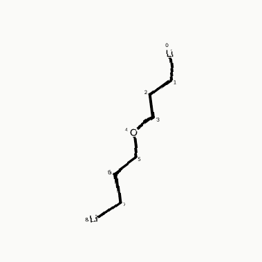 [Li][CH2]CCOCC[CH2][Li]